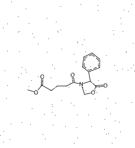 COC(=O)CCCC(=O)N1COC(=O)C1c1ccccc1